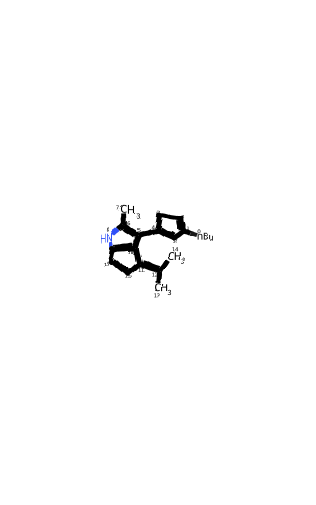 CCCCC1=CCC(c2c(C)[nH]c3c2C(=C(C)C)C=C3)=C1